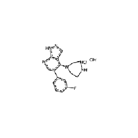 Cl.Cl.Fc1cccc(-c2cnc3[nH]ncc3c2N2CCNCC2)c1